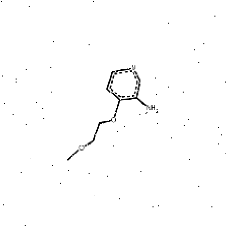 COCCOc1ccncc1N